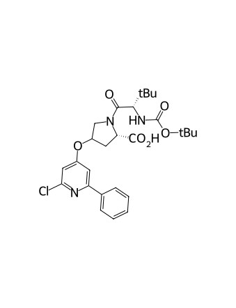 CC(C)(C)OC(=O)N[C@H](C(=O)N1CC(Oc2cc(Cl)nc(-c3ccccc3)c2)C[C@H]1C(=O)O)C(C)(C)C